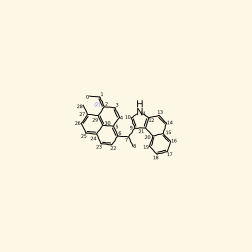 C/C=c1/ccc2c(C(C)c3c[nH]c4ccc5ccccc5c34)ccc3ccc(C)c1c32